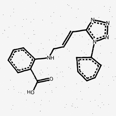 O=C(O)c1ccccc1NCC=Cc1nnnn1-c1ccccc1